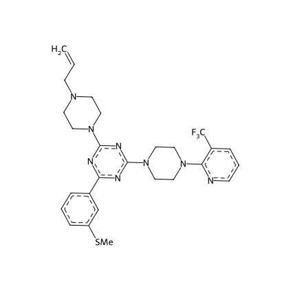 C=CCN1CCN(c2nc(-c3cccc(SC)c3)nc(N3CCN(c4ncccc4C(F)(F)F)CC3)n2)CC1